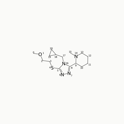 COCCSc1nnc(C2CCCCN2C)n1CC1CC1